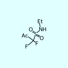 CCNS(=O)(=O)C(F)(F)C(C)=O